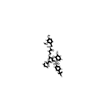 COc1ccc(CNC(=O)CCOc2nc(-c3ncccn3)nc(NS(=O)(=O)c3ccc(C(C)(C)C)cc3)c2Oc2ccccc2OC)c(OC)c1